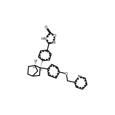 O=c1[nH]c(-c2ccc([C@]3(c4ccc(OCc5ccccn5)cc4)CC4CC[C@@H]3C4)cc2)no1